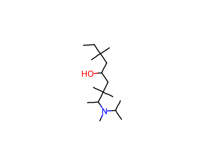 CCC(C)(C)CC(O)CC(C)(C)C(C)N(C)C(C)C